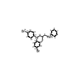 FC(CNc1ccccc1)CN(c1ccc(Br)cc1)c1ccc(Br)cc1